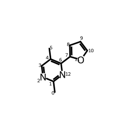 Cc1ncc(C)c(-c2ccco2)n1